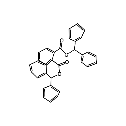 O=C(OC(c1ccccc1)c1ccccc1)c1ccccc1C(=O)OC(c1ccccc1)c1ccccc1